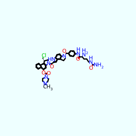 CN1CCN(C(=O)Oc2cc3c(c4ccccc24)[C@H](CCl)CN3C(=O)c2cc3c4c(ccc3[nH]2)N(C(=O)c2ccc(NC(=O)[C@@H](N)CCCNC(N)=O)cc2)CC4)CC1